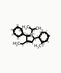 CCC1=CC(c2ccccc2C)[N+](C(C)C)=C1c1ccccc1